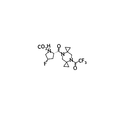 O=C(O)N1C[C@H](F)C[C@H]1C(=O)N1CC2(CC2)N(C(=O)C(F)(F)F)CC12CC2